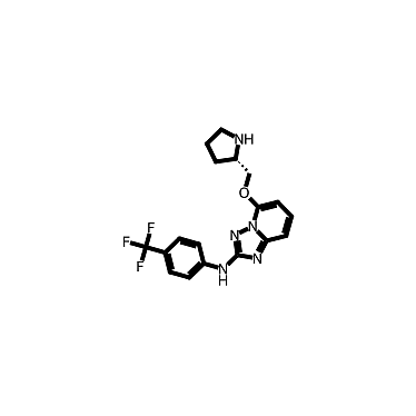 FC(F)(F)c1ccc(Nc2nc3cccc(OC[C@@H]4CCCN4)n3n2)cc1